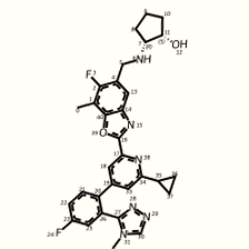 Cc1c(F)c(CN[C@@H]2CCC[C@@H]2O)cc2nc(-c3cc(-c4ccc(F)cc4-c4nncn4C)cc(C4CC4)n3)oc12